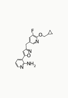 Nc1ncccc1-c1cc(Cc2cnc(OCC3CC3)c(F)c2)no1